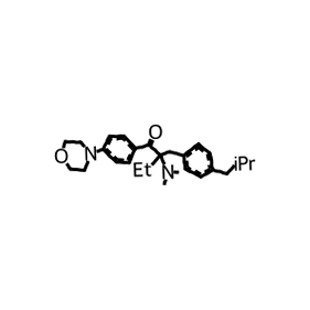 CCC(Cc1ccc(CC(C)C)cc1)(C(=O)c1ccc(N2CCOCC2)cc1)N(C)C